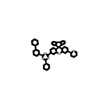 c1ccc(-c2cccc(-c3nc(-c4ccccc4)nc(-c4ccc5c(c4)Oc4cc(-c6ccccn6)ccc4C54c5ccccc5-c5ccccc54)n3)c2)cc1